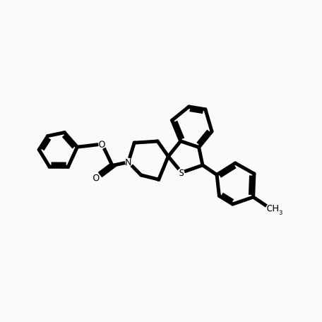 Cc1ccc(C2SC3(CCN(C(=O)Oc4ccccc4)CC3)c3ccccc32)cc1